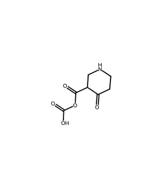 O=C(O)OC(=O)C1CNCCC1=O